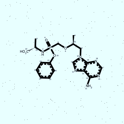 C[C@H](NP(=O)(CO[C@@H](C)Cn1cnc2c(N)ncnc21)Oc1ccccc1)C(=O)O